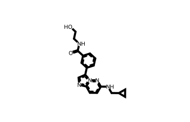 O=C(NCCO)c1cccc(-c2cnc3ccc(NCC4CC4)nn23)c1